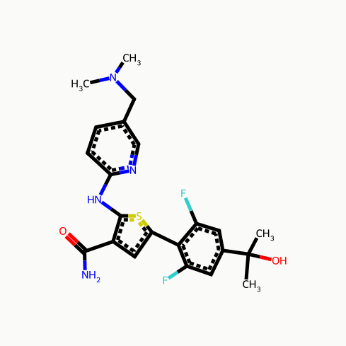 CN(C)Cc1ccc(Nc2sc(-c3c(F)cc(C(C)(C)O)cc3F)cc2C(N)=O)nc1